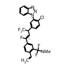 C=Cc1ccc(/C(F)=C/C(c2ccc(Cl)c(-n3nnc4ccccc43)c2)C(F)(F)F)cc1C(F)(F)NC